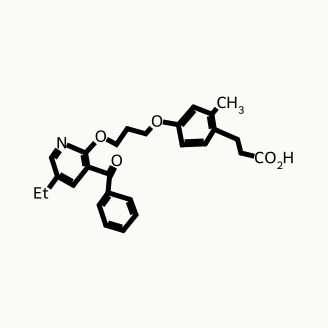 CCc1cnc(OCCCOc2ccc(CCC(=O)O)c(C)c2)c(C(=O)c2ccccc2)c1